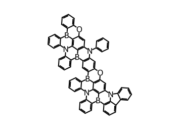 c1ccc(N2c3cc4c(cc3B3c5ccccc5N5c6ccccc6B6c7ccccc7Oc7cc2c3c5c76)B2c3ccccc3N3c5ccccc5B5c6c(cc(c2c63)O4)-n2c3ccccc3c3cccc5c32)cc1